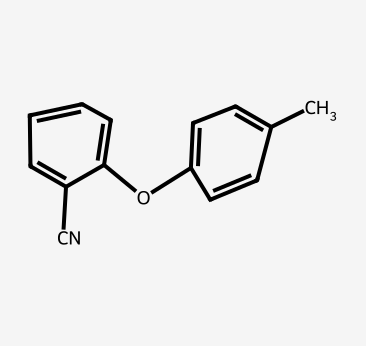 Cc1ccc(Oc2ccccc2C#N)cc1